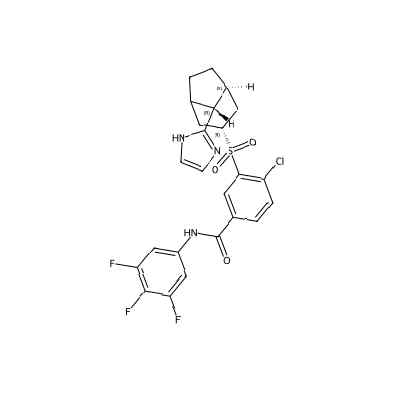 O=C(Nc1cc(F)c(F)c(F)c1)c1ccc(Cl)c(S(=O)(=O)[C@@H]2CC3CC[C@@H](C2)[C@@H]3c2ncc[nH]2)c1